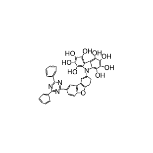 Oc1c(O)c(O)c2c(c1O)c1c(O)c(O)c(O)c(O)c1n2C1=Cc2c(oc3ccc(-c4nc(-c5ccccc5)nc(-c5ccccc5)n4)cc23)CC1